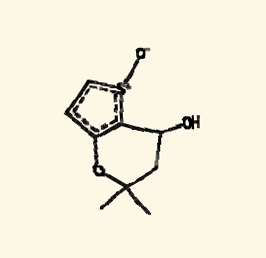 CC1(C)CC(O)c2c(cc[s+]2[O-])O1